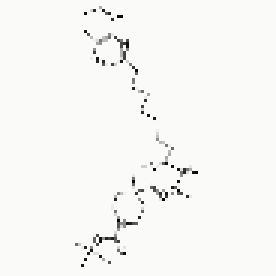 COC(=O)C(CCCCCCCc1ccc2c(n1)NCCC2)NC(=O)C1(C)CCN(C(=O)OC(C)(C)C)CC1